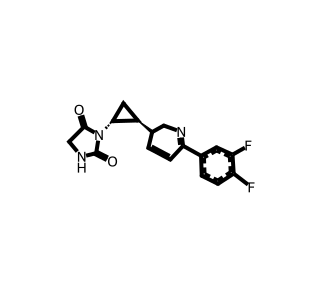 O=C1CNC(=O)N1[C@@H]1C[C@H]1C1C=CC(c2ccc(F)c(F)c2)=NC1